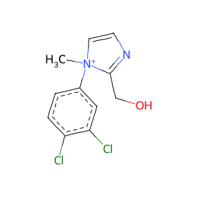 C[N+]1(c2ccc(Cl)c(Cl)c2)C=CN=C1CO